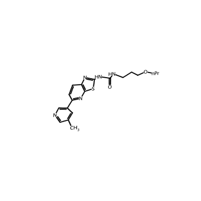 CCCOCCCNC(=O)Nc1nc2ccc(-c3cncc(C)c3)nc2s1